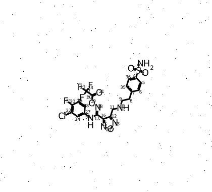 NS(=O)(=O)c1ccc(CCNCc2nonc2C(=NOC(=O)C(F)(F)F)Nc2ccc(F)c(Cl)c2)cc1